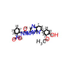 COc1cc(-c2ccc3ncc(NC(=O)Nc4ccccc4[N+](=O)[O-])nc3n2)ccc1O